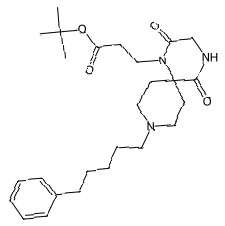 CC(C)(C)OC(=O)CCN1C(=O)CNC(=O)C12CCN(CCCCCc1ccccc1)CC2